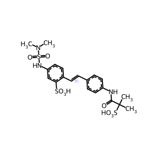 CN(C)S(=O)(=O)Nc1ccc(/C=C/c2ccc(NC(=O)C(C)(C)S(=O)(=O)O)cc2)c(S(=O)(=O)O)c1